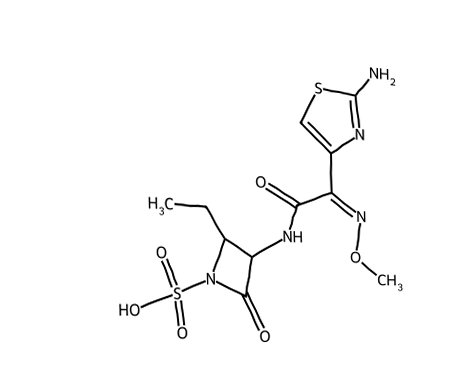 CCC1C(NC(=O)/C(=N\OC)c2csc(N)n2)C(=O)N1S(=O)(=O)O